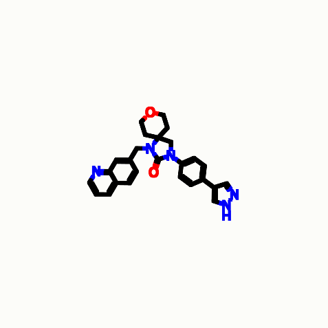 O=C1N(c2ccc(-c3cn[nH]c3)cc2)CC2(CCOCC2)N1Cc1ccc2cccnc2c1